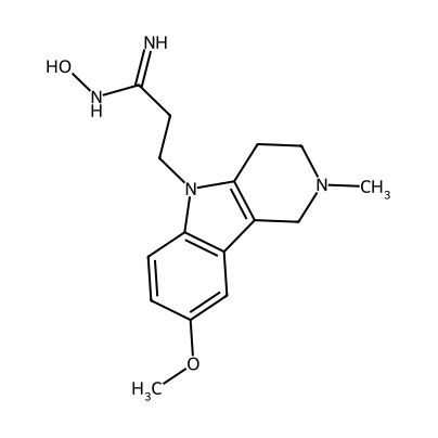 COc1ccc2c(c1)c1c(n2CCC(=N)NO)CCN(C)C1